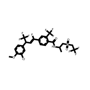 COc1ccc(C(/C=C(\F)c2ccc(C(=O)NC(C)CS(=O)(=O)CC(F)(F)F)c(C(F)(F)F)c2)C(F)(F)F)cc1Cl